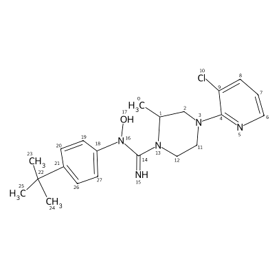 CC1CN(c2ncccc2Cl)CCN1C(=N)N(O)c1ccc(C(C)(C)C)cc1